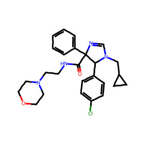 O=C(NCCN1CCOCC1)C1(c2ccccc2)N=CN(CC2CC2)C1c1ccc(Cl)cc1